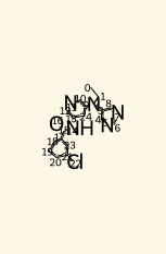 CCN(c1cncnc1)c1cncc(NC(=O)c2cccc(Cl)c2)c1